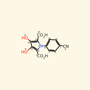 N#Cc1ccc(-n2c(C(=O)O)c(O)c(O)c2C(=O)O)cc1